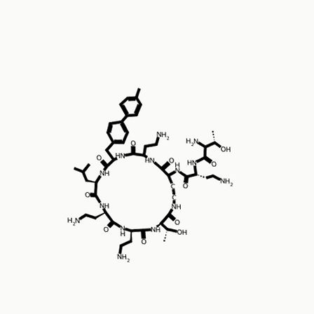 Cc1ccc(-c2ccc(CC3NC(=O)C(CCN)NC(=O)C(NC(=O)[C@@H](CCN)NC(=O)C(N)[C@H](C)O)CCNC(=O)[C@@H]([C@@H](C)O)NC(=O)[C@@H](CCN)NC(=O)[C@@H](CCN)NC(=O)[C@@H](CC(C)C)NC3=O)cc2)cc1